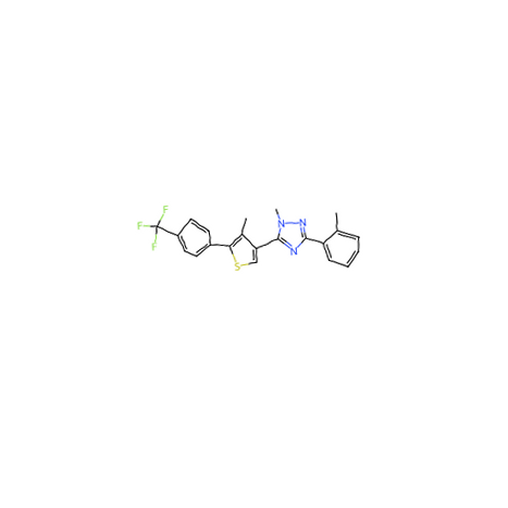 Cc1ccccc1-c1nc(-c2csc(-c3ccc(C(F)(F)F)cc3)c2C)n(C)n1